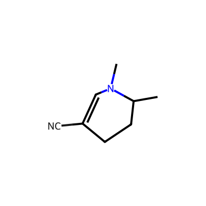 CC1CCC(C#N)=CN1C